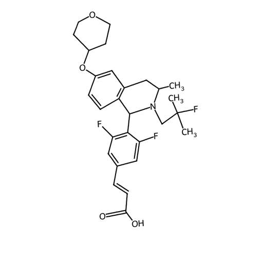 CC1Cc2cc(OC3CCOCC3)ccc2C(c2c(F)cc(/C=C/C(=O)O)cc2F)N1CC(C)(C)F